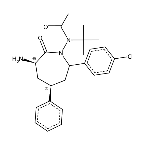 CC(=O)N(N1C(=O)[C@H](N)C[C@H](c2ccccc2)CC1c1ccc(Cl)cc1)C(C)(C)C